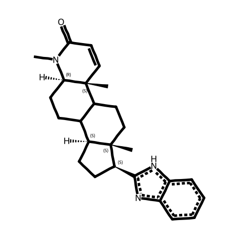 CN1C(=O)C=C[C@]2(C)C3CC[C@]4(C)[C@@H](c5nc6ccccc6[nH]5)CC[C@H]4C3CC[C@@H]12